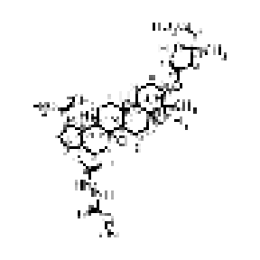 C=C(C)[C@@H]1CC[C@]2(CC(=O)NNC(=O)OC(C)(C)C)CC[C@]3(C)[C@H](CC[C@@H]4[C@@]5(C)CC[C@H](OC(=O)CC(C)(C)CC(=O)O)C(C)(C)[C@@H]5CC[C@]43C)[C@@H]12